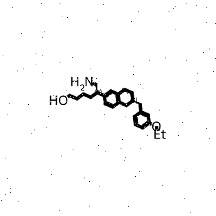 CCOc1cccc(C[C@@H]2CCc3cc([C@H](CN)CCCCO)ccc3C2)c1